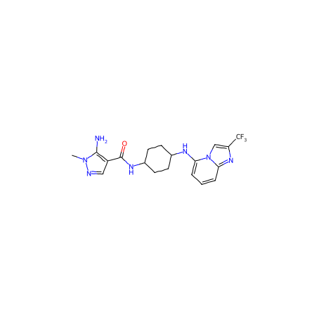 Cn1ncc(C(=O)NC2CCC(Nc3cccc4nc(C(F)(F)F)cn34)CC2)c1N